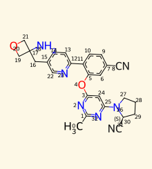 Cc1nc(Oc2cc(C#N)ccc2-c2ccc(CC3(N)COC3)cn2)cc(N2CCC[C@H]2C#N)n1